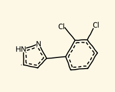 Clc1cccc(-c2c[c][nH]n2)c1Cl